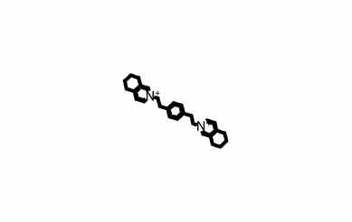 c1cc(CC[n+]2ccc3c(c2)CCCC3)ccc1CC[n+]1ccc2c(c1)CCCC2